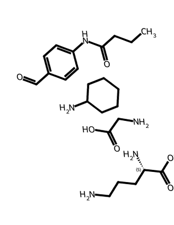 CCCC(=O)Nc1ccc(C=O)cc1.NC1CCCCC1.NCC(=O)O.NCCC[C@H](N)C(=O)O